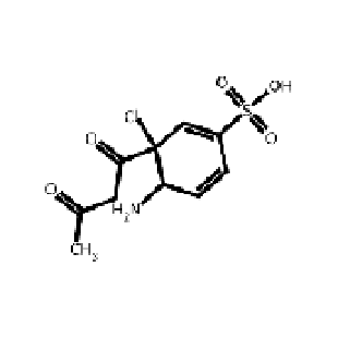 CC(=O)CC(=O)C1(Cl)C=C(S(=O)(=O)O)C=CC1N